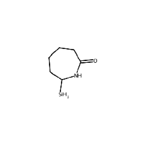 O=C1CCCCC([SiH3])N1